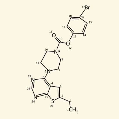 CCc1cc2c(N3CCN(C(=O)Oc4ccc(Br)cc4)CC3)ncnc2s1